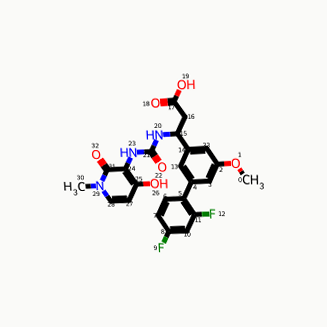 COc1cc(-c2ccc(F)cc2F)cc(C(CC(=O)O)NC(=O)Nc2c(O)ccn(C)c2=O)c1